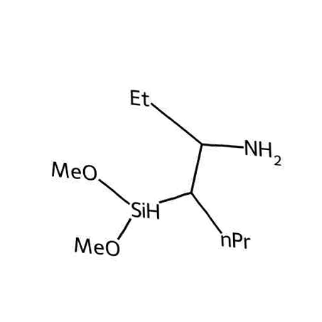 CCCC(C(N)CC)[SiH](OC)OC